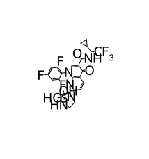 O=C(N[C@@H](C1CC1)C(F)(F)F)c1cn(-c2c(F)cc(F)cc2F)c2nc(N3CCNS3(O)O)ccc2c1=O